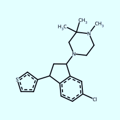 CN1CCN(C2CC(c3ccsc3)c3ccc(Cl)cc32)CC1(C)C